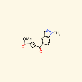 COC(=O)C12CC(C(=O)c3ccc4c(cnn4C)c3)(C1)C2